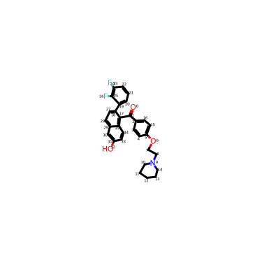 O=C(c1ccc(OCCN2CCCCC2)cc1)c1c(-c2cccc(F)c2F)ccc2cc(O)ccc12